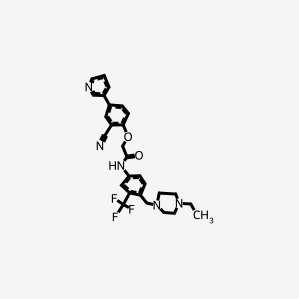 CCN1CCN(Cc2ccc(NC(=O)COc3ccc(-c4cccnc4)cc3C#N)cc2C(F)(F)F)CC1